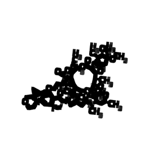 CC[C@H]1OC(=O)[C@H](C)[C@@H](O[C@H]2C[C@@](C)(OC)[C@@H](O)[C@H](C)O2)[C@H](C)[C@@H](O[C@H]2C[C@@H](N(C)CCc3cn([C@H](CF)[C@H](OC)c4ccc(N5CCOCC5)cc4)nn3)C[C@@H](C)O2)[C@](C)(OC)C[C@@H](C)C(=O)[C@H](C)[C@H]2N(CCCOCC3CC3)C(=O)O[C@]12C